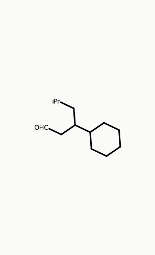 CC(C)CC(CC=O)C1CCCCC1